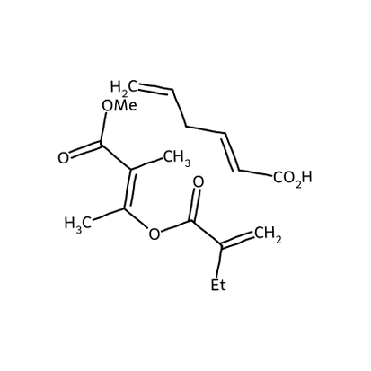 C=C(CC)C(=O)OC(C)=C(C)C(=O)OC.C=CCC=CC(=O)O